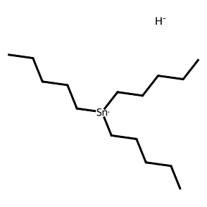 CCCC[CH2][Sn]([CH2]CCCC)[CH2]CCCC.[H-]